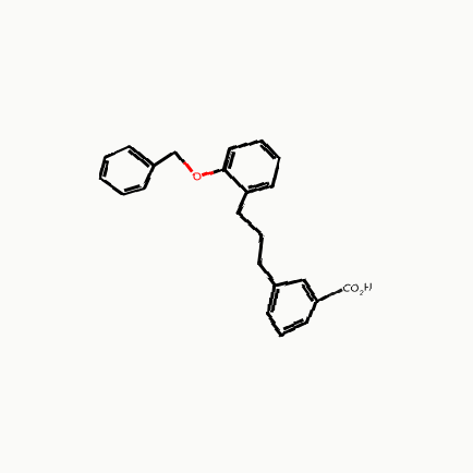 O=C(O)c1cccc(CCCc2ccccc2OCc2ccccc2)c1